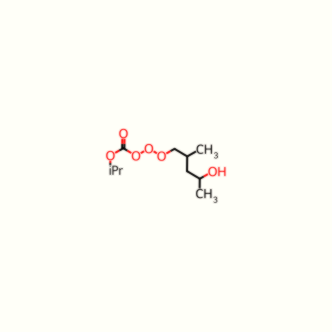 CC(O)CC(C)COOOC(=O)OC(C)C